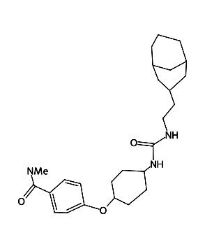 CNC(=O)c1ccc(OC2CCC(NC(=O)NCCC3CC4CCCC(C4)C3)CC2)cc1